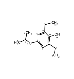 CCc1cc(OC(C)C)cc(CC)c1O